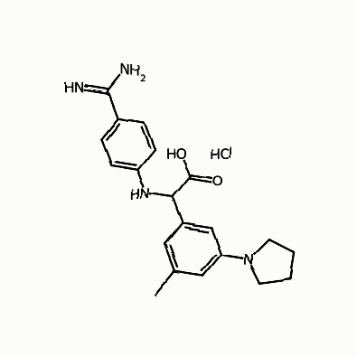 Cc1cc(C(Nc2ccc(C(=N)N)cc2)C(=O)O)cc(N2CCCC2)c1.Cl